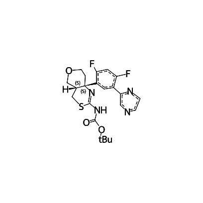 CC(C)(C)OC(=O)NC1=N[C@@]2(c3cc(-c4cnccn4)c(F)cc3F)CCOC[C@H]2CS1